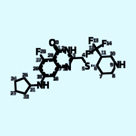 O=c1[nH]c(CS[C@H]2CCNC[C@@H]2C(F)(F)F)nc2cc(NC3CCCC3)cc(F)c12